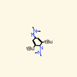 CN(C)N=C1C=C(C(C)(C)C)C(=NN(C)C)C(C(C)(C)C)=C1